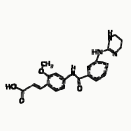 COc1cc(NC(=O)c2cccc(NC3=NCCCN3)c2)ccc1/C=C/C(=O)O